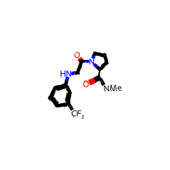 CNC(=O)[C@@H]1CCCN1C(=O)CNc1cccc(C(F)(F)F)c1